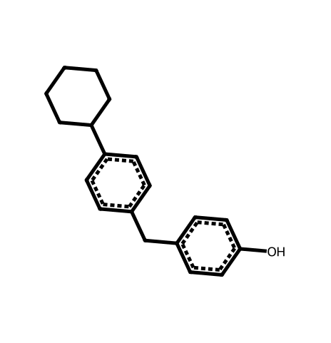 Oc1ccc(Cc2ccc(C3CCCCC3)cc2)cc1